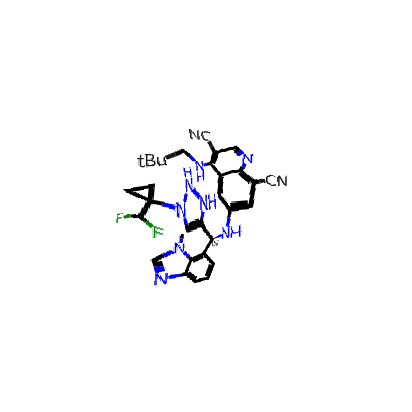 Cn1cnc2cccc([C@H](Nc3cc(C#N)c4ncc(C#N)c(NCC(C)(C)C)c4c3)C3=CN(C4(C(F)F)CC4)NN3)c21